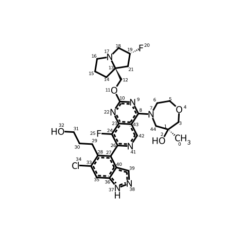 C[C@@]1(O)COCCN(c2nc(OC[C@@]34CCCN3C[C@H](F)C4)nc3c(F)c(-c4c(CCCO)c(Cl)cc5[nH]ncc45)ncc23)C1